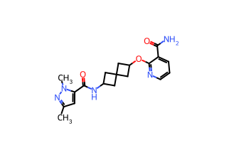 Cc1cc(C(=O)NC2CC3(C2)CC(Oc2ncccc2C(N)=O)C3)n(C)n1